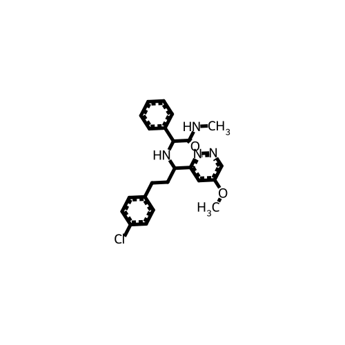 CNC(=O)C(NC(CCc1ccc(Cl)cc1)c1cc(OC)cnn1)c1ccccc1